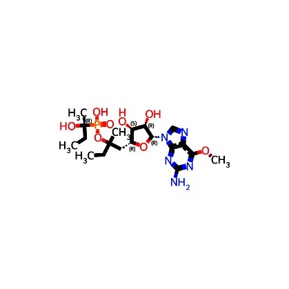 CCC(C)(C[C@H]1O[C@@H](n2cnc3c(OC)nc(N)nc32)[C@H](O)[C@@H]1O)OP(=O)(O)[C@@](C)(O)CC